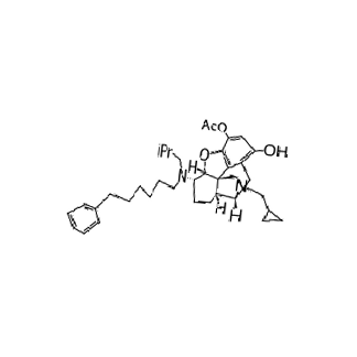 CC(=O)Oc1cc(O)c2c3c1O[C@H]1[C@@H](N(CCCCCCc4ccccc4)CC(C)C)CC[C@H]4[C@@H](C2)N(CC2CC2)CC[C@@]341